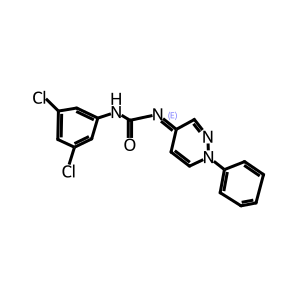 O=C(/N=c1\ccn(-c2ccccc2)nc1)Nc1cc(Cl)cc(Cl)c1